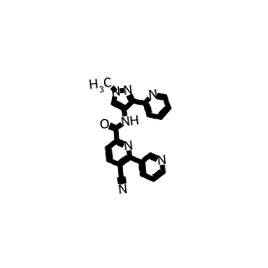 Cn1cc(NC(=O)c2ccc(C#N)c(-c3cccnc3)n2)c(-c2ccccn2)n1